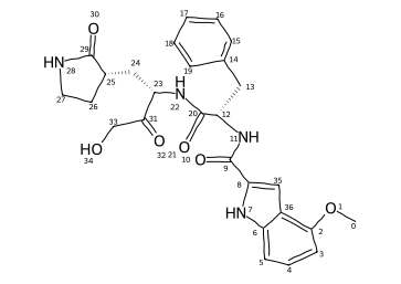 COc1cccc2[nH]c(C(=O)N[C@@H](Cc3ccccc3)C(=O)N[C@@H](C[C@@H]3CCNC3=O)C(=O)CO)cc12